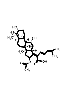 CC(=O)O[C@H]1C[C@@]2(C)[C@@H](C[C@@H](O)[C@H]3[C@@]4(C)CC[C@@H](O)[C@](C)(N)[C@@H]4CC[C@@]32N)/C1=C(\C=C\C=C(C)C)C(=O)O